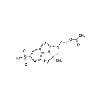 CC(=O)OCCN1CC(C)(C)c2c1ccc1cc(S(=O)(=O)O)ccc21